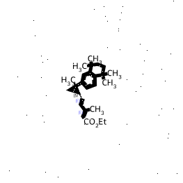 CCOC(=O)/C=C(C)/C=C/[C@@H]1C[C@]1(C)c1ccc2c(c1)C(C)(C)CCC2(C)C